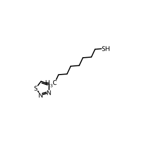 CCCCCCCCS.c1csnn1